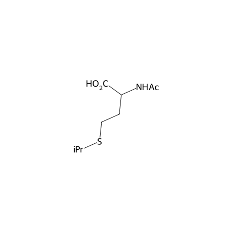 CC(=O)NC(CCSC(C)C)C(=O)O